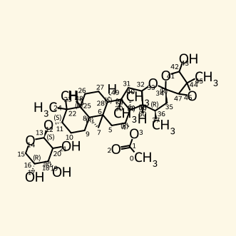 CC(=O)O[C@@H]1CC23C[C@@]24CC[C@H](O[C@@H]2OC[C@@H](O)[C@@H](O)C2O)C(C)(C)[C@@H]4CC[C@H]3[C@]2(C)CC3O[C@]4(C[C@@H](C)[C@@H]3[C@@]12C)OC(O)C1(C)OC14